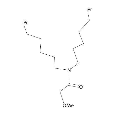 COCC(=O)N(CCCCCC(C)C)CCCCCC(C)C